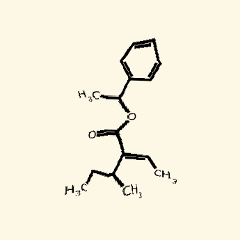 CC=C(C(=O)OC(C)c1ccccc1)C(C)CC